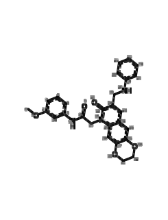 COc1cccc(NC(=O)Cn2c(=O)c(CNc3ccccc3)cc3cc4c(cc32)OCCO4)c1